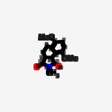 COc1ccc(OC)c2c1CCC1C(=O)N(C)C(=O)C21